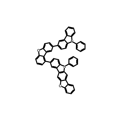 c1ccc(-n2c3ccccc3c3cc(-c4ccc5oc6cccc(-c7ccc8c(c7)c7cc9oc%10ccccc%10c9cc7n8-c7ccccc7)c6c5c4)ccc32)cc1